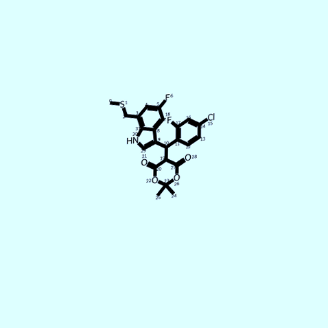 CSCc1cc(F)cc2c(C(c3ccc(Cl)cc3F)C3C(=O)OC(C)(C)OC3=O)c[nH]c12